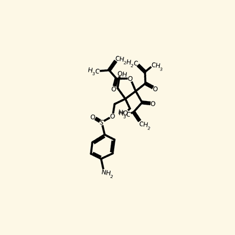 C=C(C)C(=O)OC(C(=O)C(=C)C)(C(=O)C(=C)C)C(CO)(CO)COS(=O)c1ccc(N)cc1